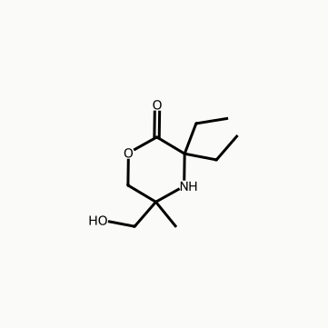 CCC1(CC)NC(C)(CO)COC1=O